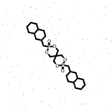 O=P1(CC2CCC3CCCCC3C2)OCC2(CO1)COP(=O)(CC1CCC3CCCCC3C1)OC2